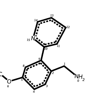 NCc1ccc(OC(F)(F)F)cc1-c1ccccn1